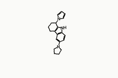 c1ccn(C2CCCc3c2[nH]c2ccc(N4CCCC4)cc32)c1